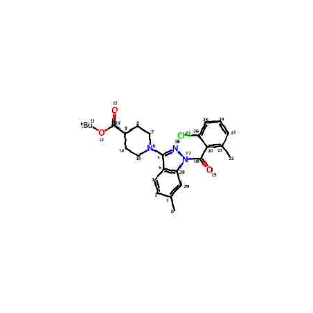 Cc1ccc2c(N3CCC(C(=O)OC(C)(C)C)CC3)nn(C(=O)c3c(C)cccc3Cl)c2c1